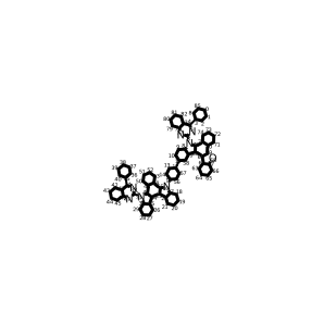 c1ccc(-c2nc(-n3c4ccc(-c5ccc(-n6c7ccccc7c7c8c9ccccc9n(-c9nc(-c%10ccccc%10)c%10ccccc%10n9)c8c8ccccc8c76)cc5)cc4c4c5c6ccccc6oc5c5ccccc5c43)nc3ccccc23)cc1